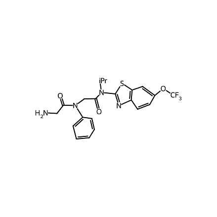 CC(C)N(C(=O)CN(C(=O)CN)c1ccccc1)c1nc2ccc(OC(F)(F)F)cc2s1